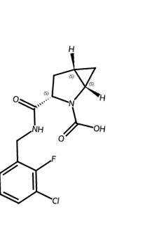 O=C(NCc1cccc(Cl)c1F)[C@@H]1C[C@@H]2C[C@@H]2N1C(=O)O